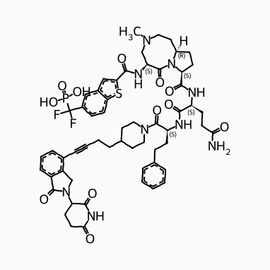 CN1CC[C@H]2CC[C@@H](C(=O)N[C@@H](CCC(N)=O)C(=O)N[C@@H](CCc3ccccc3)C(=O)N3CCC(CCC#Cc4cccc5c4CN(C4CCC(=O)NC4=O)C5=O)CC3)N2C(=O)[C@@H](NC(=O)c2cc3cc(C(F)(F)P(=O)(O)O)ccc3s2)C1